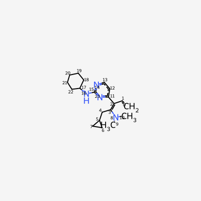 C=C/C(=C(/CC1CC1)N(C)C)c1ccnc(NC2CCCCC2)n1